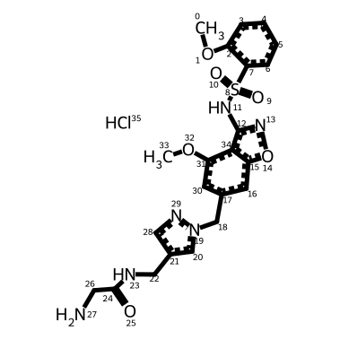 COc1ccccc1S(=O)(=O)Nc1noc2cc(Cn3cc(CNC(=O)CN)cn3)cc(OC)c12.Cl